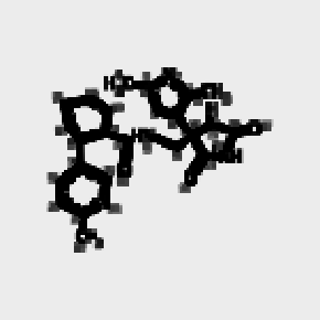 Cc1nn(C)cc1[C@]1(CNC(=O)c2ccccc2-c2ccc(C(F)(F)F)nc2)NC(=O)NC1=O